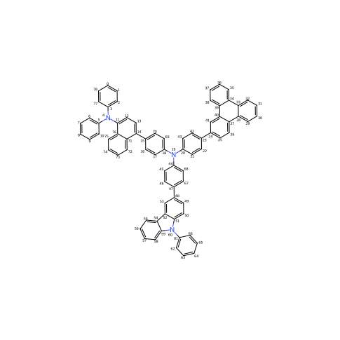 c1ccc(N(c2ccccc2)c2ccc(-c3ccc(N(c4ccc(-c5ccc6c7ccccc7c7ccccc7c6c5)cc4)c4ccc(-c5ccc6c(c5)c5ccccc5n6-c5ccccc5)cc4)cc3)c3ccccc23)cc1